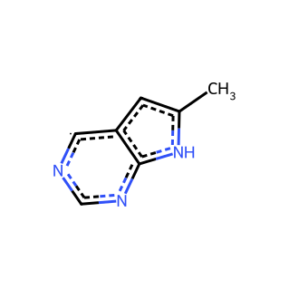 Cc1cc2[c]ncnc2[nH]1